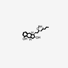 CCCCC[C@@H](CC[C@@H]1[C@H]2Cc3cccc(O)c3C[C@H]2C[C@H]1O)OP